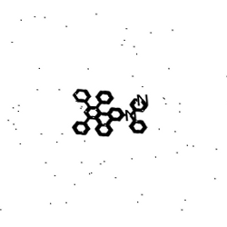 C1=CC(c2cc(-c3ccccc3)c3c4ccccc4c4cc(N(c5ccccc5)c5ccncc5)ccc4c3c2-c2ccccc2)=CCC1